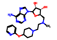 CN(CCN1CCC(Oc2ccccn2)CC1)C[C@H]1OC(n2cnc3c(N)ncnc32)[C@H](O)[C@@H]1O